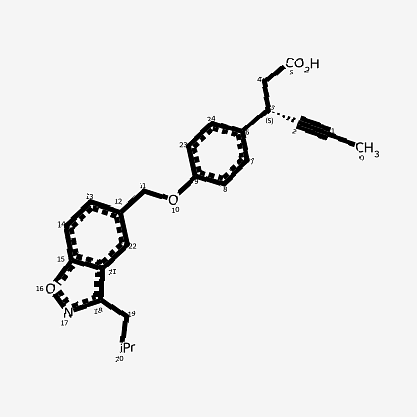 CC#C[C@@H](CC(=O)O)c1ccc(OCc2ccc3onc(CC(C)C)c3c2)cc1